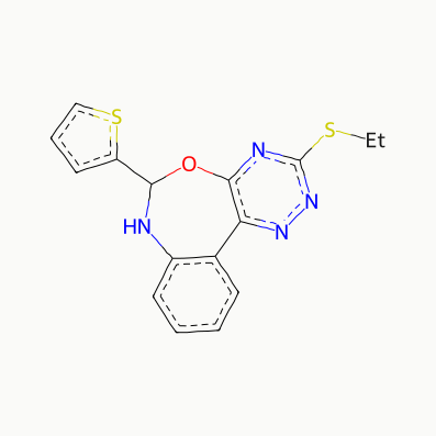 CCSc1nnc2c(n1)OC(c1cccs1)Nc1ccccc1-2